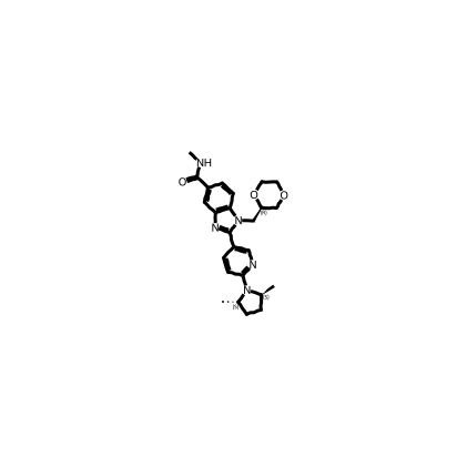 CNC(=O)c1ccc2c(c1)nc(-c1ccc(N3[C@@H](C)CC[C@@H]3C)nc1)n2C[C@@H]1COCCO1